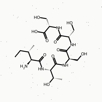 CC[C@H](C)[C@H](N)C(=O)N[C@H](C(=O)N[C@H](CO)C(=O)N[C@@H](CO)C(=O)N[C@@H](CO)C(=O)O)[C@H](C)O